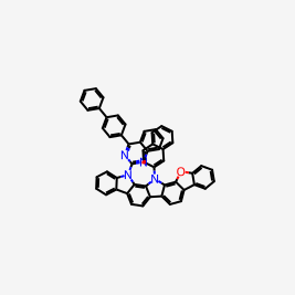 c1ccc(-c2ccc(-c3nc(-n4c5ccccc5c5ccc6c7ccc8c9ccccc9oc8c7n(-c7ccc8ccccc8c7)c6c54)nc4ccccc34)cc2)cc1